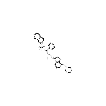 O=C(CC(NS(=O)(=O)c1ccc2ccccc2c1)c1ccccc1)NC1CCc2c(CN3CCCCC3)cccc21